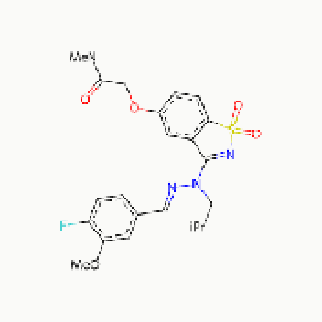 CNC(=O)COc1ccc2c(c1)C(N(CC(C)C)/N=C/c1ccc(F)c(OC)c1)=NS2(=O)=O